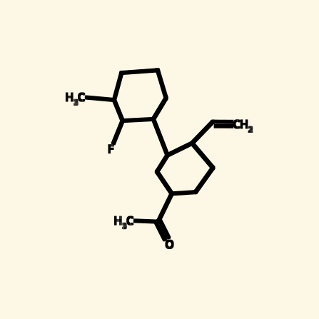 C=CC1CCC(C(C)=O)CC1C1CCCC(C)C1F